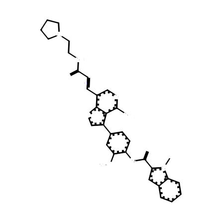 COc1cc(-c2csc3c(/C=C/C(=O)NCCN4CCCC4)cnc(N)c23)ccc1NC(=O)c1cc2ccccc2n1C